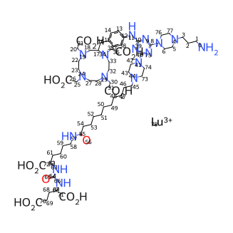 NCCCN1CCN(c2nc(Nc3ccc(CC4CN(CC(=O)O)CCN(CC(=O)O)CCN(CC(=O)O)CCN4CC(=O)O)cc3)nc(N3CCN(CCCCCCCCCCC(=O)NCCCC[C@H](NC(=O)N[C@@H](CCC(=O)O)C(=O)O)C(=O)O)CC3)n2)CC1.[Lu+3]